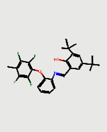 Cc1c(F)c(F)c(Oc2ccccc2/N=C/c2cc(C(C)(C)C)cc(C(C)(C)C)c2O)c(F)c1F